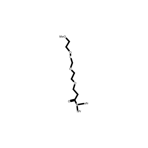 CCCN(CCC)C(=O)CCOCCOCCOCCOC